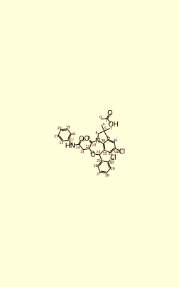 CC(=O)O.CC(C)(C)CN1C(=O)C(CC(=O)Nc2ccccc2)OC(c2ccccc2Cl)c2cc(Cl)ccc21